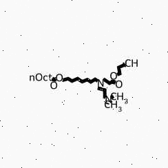 C#CCCOC(=O)CCN(CCCCCCCCOC(=O)CCCCCCCC)CCCN(C)C